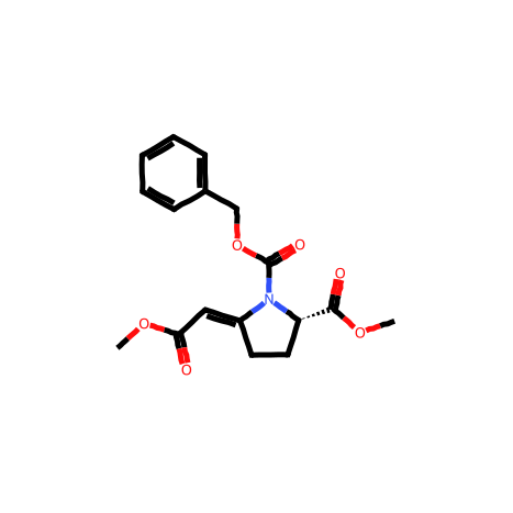 COC(=O)C=C1CC[C@@H](C(=O)OC)N1C(=O)OCc1ccccc1